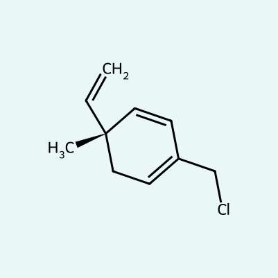 C=C[C@]1(C)C=CC(CCl)=CC1